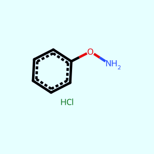 Cl.NOc1ccccc1